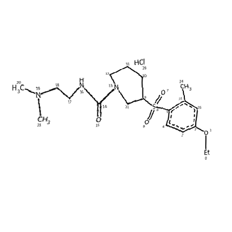 CCOc1ccc(S(=O)(=O)C2CCCN(C(=O)NCCN(C)C)C2)c(C)c1.Cl